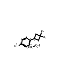 N#Cc1ccc(C2CC(F)(F)C2)cc1.O=CO